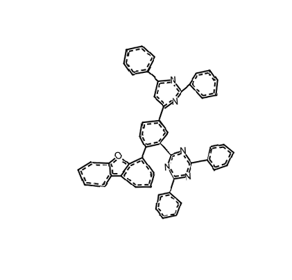 c1ccc(-c2cc(-c3ccc(-c4cccc5c4oc4ccccc45)c(-c4nc(-c5ccccc5)nc(-c5ccccc5)n4)c3)nc(-c3ccccc3)n2)cc1